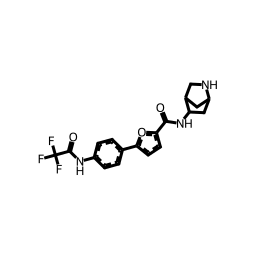 O=C(NC1CC2CC1CN2)c1ccc(-c2ccc(NC(=O)C(F)(F)F)cc2)o1